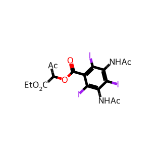 CCOC(=O)C(OC(=O)c1c(I)c(NC(C)=O)c(I)c(NC(C)=O)c1I)C(C)=O